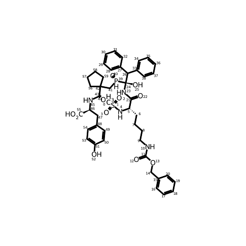 CS(=O)(=O)N[C@@H](CCCCNC(=O)OCc1ccccc1)C(=O)N[C@@](O)(C(c1ccccc1)c1ccccc1)[PH](=O)CC1(C(=O)N[C@@H](Cc2ccc(O)cc2)C(=O)O)CCCC1